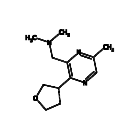 Cc1cnc(C2CCOC2)c(CN(C)C)n1